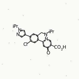 CC(C)N1Cc2cc(-c3cnn(C(C)C)c3)c(Cl)cc2-c2cc(=O)c(C(=O)O)cn21